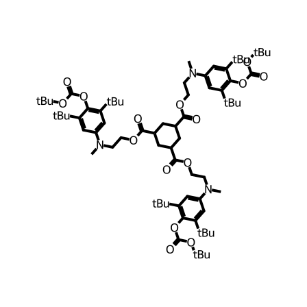 CN(CCOC(=O)C1CC(C(=O)OCCN(C)c2cc(C(C)(C)C)c(OC(=O)OC(C)(C)C)c(C(C)(C)C)c2)CC(C(=O)OCCN(C)c2cc(C(C)(C)C)c(OC(=O)OC(C)(C)C)c(C(C)(C)C)c2)C1)c1cc(C(C)(C)C)c(OC(=O)OC(C)(C)C)c(C(C)(C)C)c1